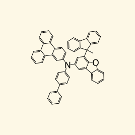 CC1(c2cc(N(c3ccc(-c4ccccc4)cc3)c3ccc4c5ccccc5c5ccccc5c4c3)cc3c2oc2ccccc23)c2ccccc2-c2ccccc21